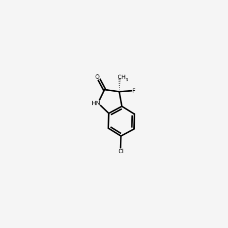 C[C@@]1(F)C(=O)Nc2cc(Cl)ccc21